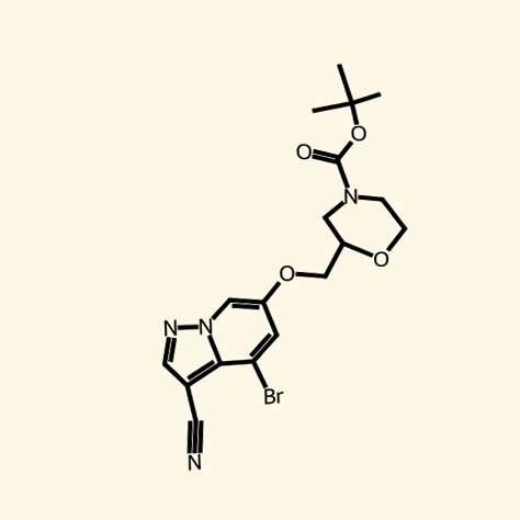 CC(C)(C)OC(=O)N1CCOC(COc2cc(Br)c3c(C#N)cnn3c2)C1